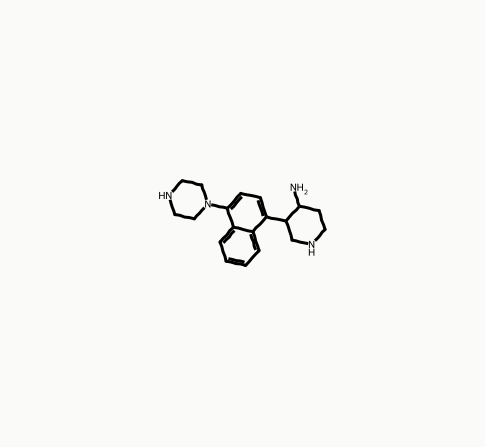 NC1CCNCC1c1ccc(N2CCNCC2)c2ccccc12